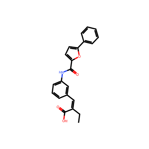 CCC(=Cc1cccc(NC(=O)c2ccc(-c3ccccc3)o2)c1)C(=O)O